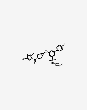 Cn1nc(Br)cc1C(=O)N1CC2C(C1)C2Oc1cc(C(C)(C)NC(=O)O)cc(-c2ccc(F)cc2)n1